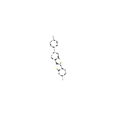 Cc1ccc(-c2ccc3c(c2)sc2c4ccc(C)cc4sc32)cc1